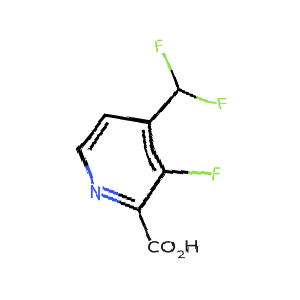 O=C(O)c1nccc(C(F)F)c1F